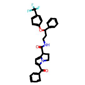 O=C(c1ccccc1)c1ccc2n1CCC2C(=O)NCCC(Oc1ccc(C(F)(F)F)cc1)c1ccccc1